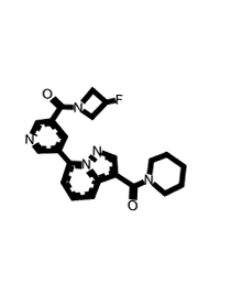 O=C(c1cncc(-c2cccc3c(C(=O)N4CCCCC4)cnn23)c1)N1CC(F)C1